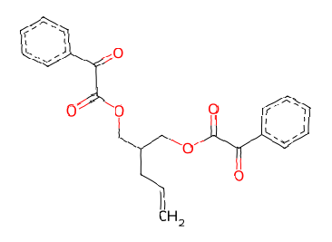 C=CCC(COC(=O)C(=O)c1ccccc1)COC(=O)C(=O)c1ccccc1